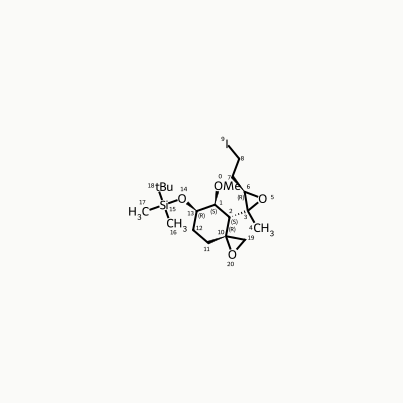 CO[C@H]1[C@H](C2(C)O[C@@H]2CCI)[C@]2(CC[C@H]1O[Si](C)(C)C(C)(C)C)CO2